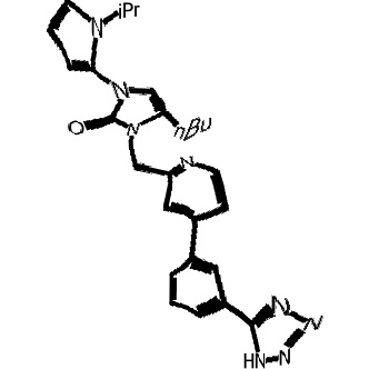 CCCCc1cn(-c2cccn2C(C)C)c(=O)n1Cc1cc(-c2cccc(-c3nnn[nH]3)c2)ccn1